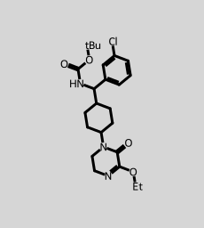 CCOC1=NCCN(C2CCC(C(NC(=O)OC(C)(C)C)c3cccc(Cl)c3)CC2)C1=O